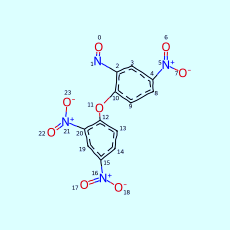 O=Nc1cc([N+](=O)[O-])ccc1Oc1ccc([N+](=O)[O-])cc1[N+](=O)[O-]